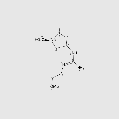 COCCN=C(N)NC1CN[C@H](C(=O)O)C1